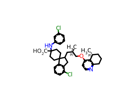 C[C@@H](COc1ccnc2c1[C@H](C)CCC2)CC1Cc2c(Cl)cccc2C12CCC(Nc1cccc(Cl)c1)(C(=O)O)CC2